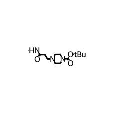 CC(C)(C)OC(=O)N1CCN(CCC([NH])=O)CC1